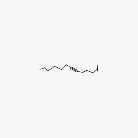 CCCCCCC#CCCCI